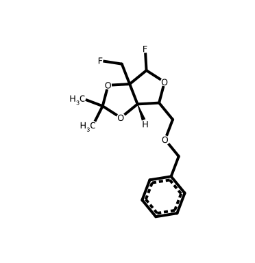 CC1(C)O[C@H]2C(COCc3ccccc3)OC(F)C2(CF)O1